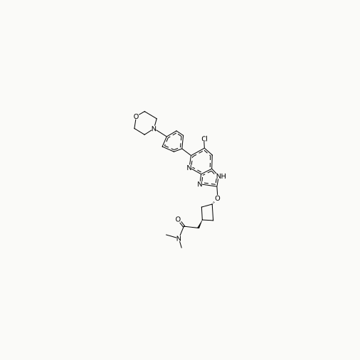 CN(C)C(=O)C[C@H]1C[C@H](Oc2nc3nc(-c4ccc(N5CCOCC5)cc4)c(Cl)cc3[nH]2)C1